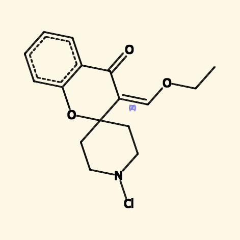 CCO/C=C1\C(=O)c2ccccc2OC12CCN(Cl)CC2